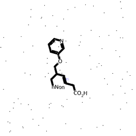 CCCCCCCCCCC(/C=C/CC(=O)O)COc1cccnc1